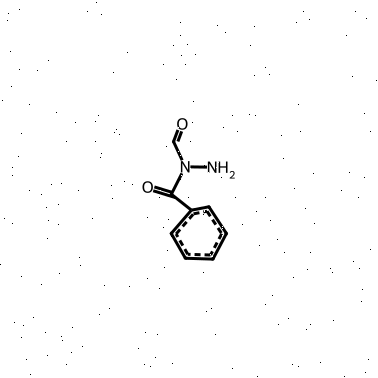 NN(C=O)C(=O)c1ccccc1